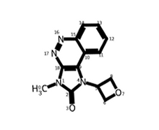 Cn1c(=O)n(C2COC2)c2c3ccccc3nnc21